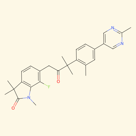 Cc1ncc(-c2ccc(C(C)(C)C(=O)Cc3ccc4c(c3F)N(C)C(=O)C4(C)C)c(C)c2)cn1